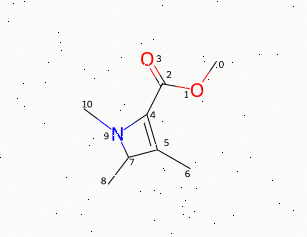 COC(=O)C1=C(C)C(C)N1C